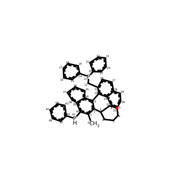 Cc1c(C2CCCCC2)c(-c2c(CP(c3ccccc3)c3ccccc3)ccc3ccccc23)c2ccccc2c1Pc1ccccc1